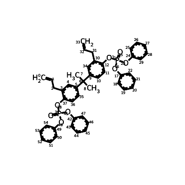 C=CCc1cc(C(C)(C)c2ccc(OP(=O)(Oc3ccccc3)Oc3ccccc3)c(CC=C)c2)ccc1OP(=O)(Oc1ccccc1)Oc1ccccc1